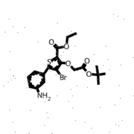 CCOC(=O)c1sc(-c2cccc(N)c2)c(Br)c1OCC(=O)OC(C)(C)C